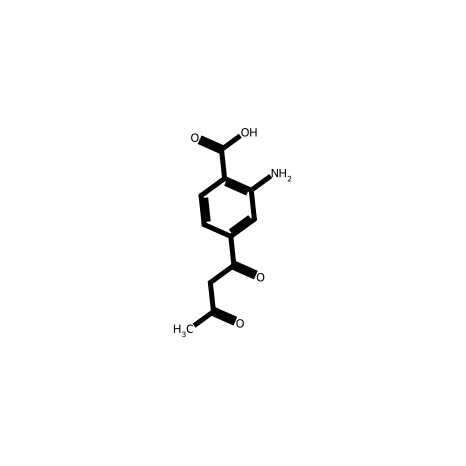 CC(=O)CC(=O)c1ccc(C(=O)O)c(N)c1